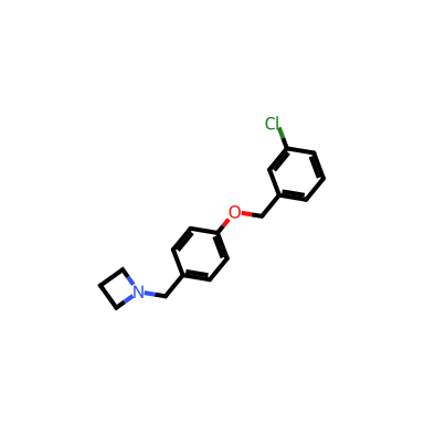 Clc1cccc(COc2ccc(CN3CCC3)cc2)c1